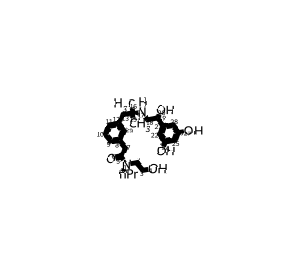 CCCN(CCO)C(=O)Cc1cccc(CC(C)(C)NCC(O)c2cc(O)cc(O)c2)c1